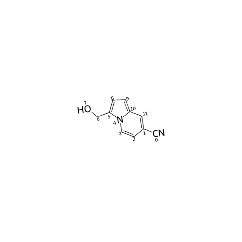 N#Cc1ccn2c(CO)ccc2c1